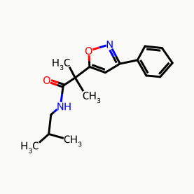 CC(C)CNC(=O)C(C)(C)c1cc(-c2ccccc2)no1